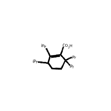 CC(C)C1=C(C(=O)O)C(C(C)C)(C(C)C)CCC1C(C)C